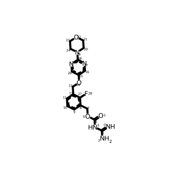 N=C(N)NC(=O)OCc1cccc(COc2cnc(N3CCOCC3)nc2)c1F